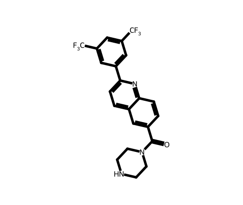 O=C(c1ccc2nc(-c3cc(C(F)(F)F)cc(C(F)(F)F)c3)ccc2c1)N1CCNCC1